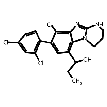 CCC(O)c1cc(-c2ccc(Cl)cc2Cl)c(Cl)c2nc3n(c12)CCCN3